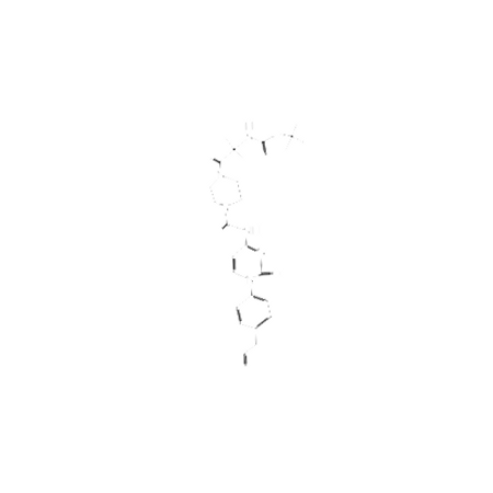 C[C@@H]1CN(C(=O)C(C)(C)NC(=O)OC(C)(C)C)CCN1C(=O)Nc1ccn(-c2ccc(CC=O)cc2)c(=O)n1